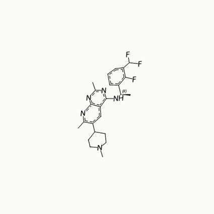 Cc1nc(N[C@H](C)c2cccc(C(F)F)c2F)c2cc(C3CCN(C)CC3)c(C)nc2n1